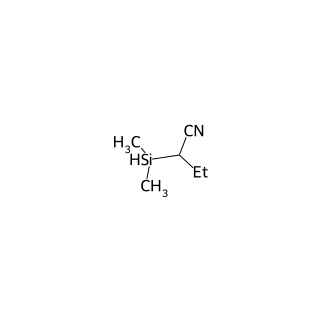 CCC(C#N)[SiH](C)C